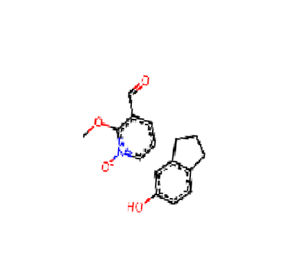 COc1c(C=O)ccc[n+]1[O-].Oc1ccc2c(c1)CCC2